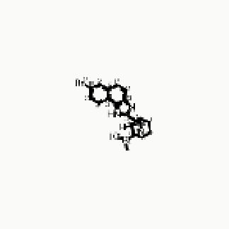 CB(O)N1C2CCC(CC2)[C@H]1c1nc2ccc3cc(Br)ccc3c2[nH]1